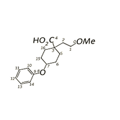 COCCC1(C(=O)O)CCC(Oc2ccccc2)CC1